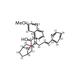 COc1cnc2cccc(C(O)CN3C4CCC3CC(NCC=Cc3ccccn3)C4)c2c1